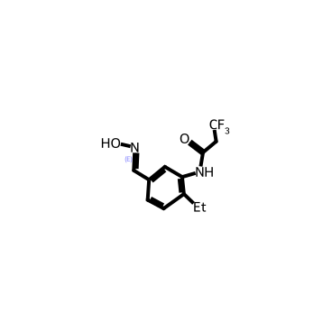 CCc1ccc(/C=N/O)cc1NC(=O)CC(F)(F)F